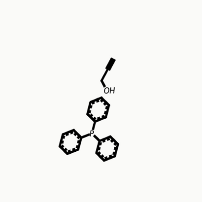 C#CCO.c1ccc(P(c2ccccc2)c2ccccc2)cc1